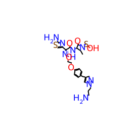 CC1C(NC(=O)/C(=N\OCCOc2ccc(-c3cnn(CCCN)c3)cc2)c2csc(N)n2)C(=O)N1SO